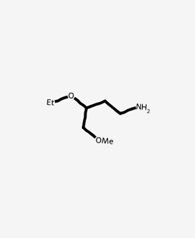 CCOC(CCN)COC